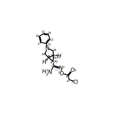 N/C(=N\OC(=O)CCl)[C@H]1[C@@H]2CN(c3ccccc3)C[C@@H]21